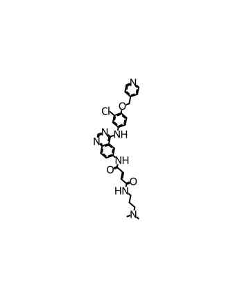 CN(C)CCCNC(=O)C=CC(=O)Nc1ccc2ncnc(Nc3ccc(OCc4ccncc4)c(Cl)c3)c2c1